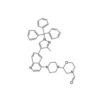 Cc1nn(C(c2ccccc2)(c2ccccc2)c2ccccc2)cc1-c1ccc2nccc(N3CCN(C4CN(C=O)CCO4)CC3)c2c1